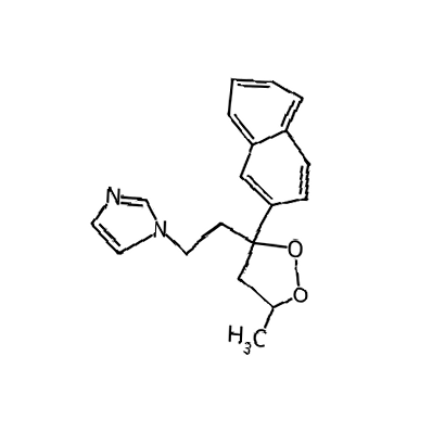 CC1CC(CCn2ccnc2)(c2ccc3ccccc3c2)OO1